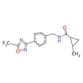 CC1CC1C(=O)NCc1ccc(-c2noc(C(F)(F)F)n2)cc1